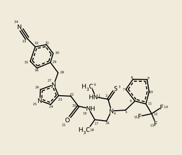 CNC(=S)N(Cc1ccccc1C(F)(F)F)CC(C)NC(=O)Cc1cncn1Cc1ccc(C#N)cc1